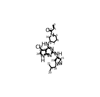 C=CC(=O)N1CCC[C@@H](Nc2nc(Nc3cnn(CC(C)C)c3)nc3[nH]cc(Cl)c23)C1